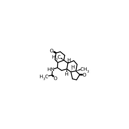 CC(=O)NC1C[C@@H]2[C@@H](CC[C@]3(C)C(=O)CC[C@@H]23)[C@@]2(C)CCC(=O)CC12